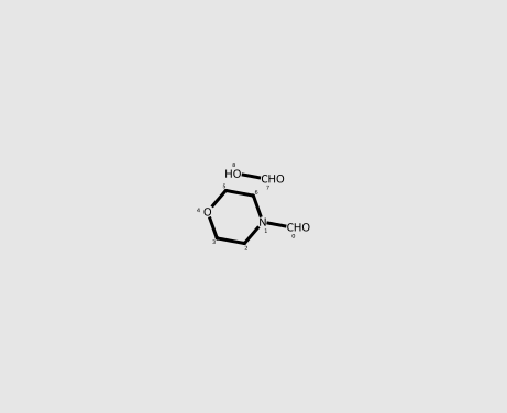 O=CN1CCOCC1.O=CO